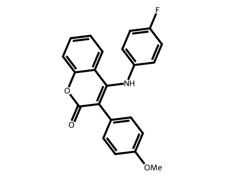 COc1ccc(-c2c(Nc3ccc(F)cc3)c3ccccc3oc2=O)cc1